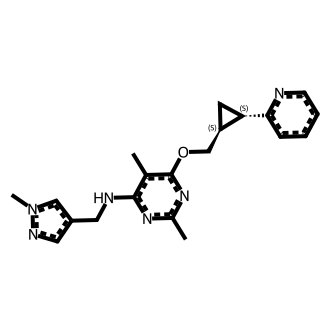 Cc1nc(NCc2cnn(C)c2)c(C)c(OC[C@H]2C[C@@H]2c2ccccn2)n1